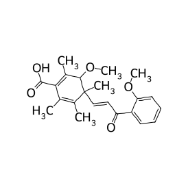 COc1ccccc1C(=O)C=CC1(C)C(C)=C(C)C(C(=O)O)=C(C)C1OC